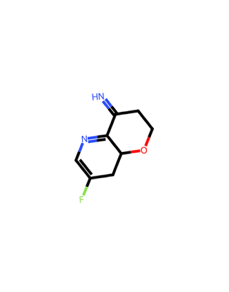 N=C1CCOC2CC(F)=CN=C12